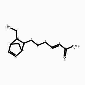 COC(=O)C=CCCCC1C2C=CC(C2)C1CO